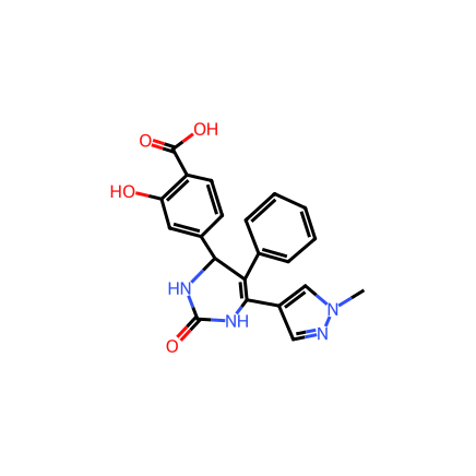 Cn1cc(C2=C(c3ccccc3)C(c3ccc(C(=O)O)c(O)c3)NC(=O)N2)cn1